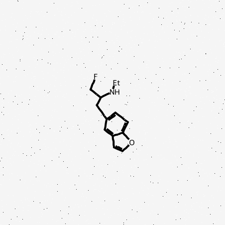 CCNC(CF)Cc1ccc2occc2c1